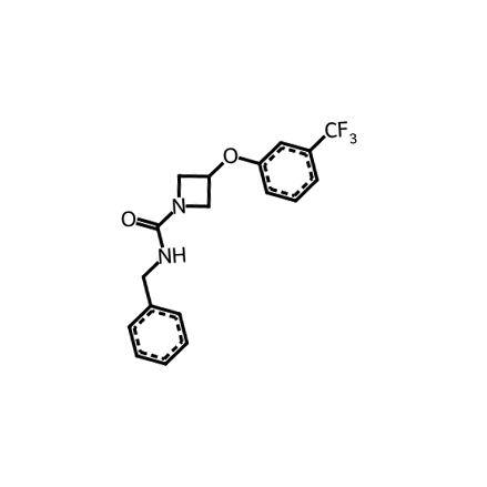 O=C(NCc1ccccc1)N1CC(Oc2cccc(C(F)(F)F)c2)C1